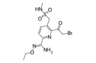 CCO/N=C(\N)c1ccc(CS(=O)(=O)NC)c(C(=O)CBr)n1